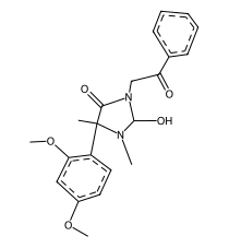 COc1ccc(C2(C)C(=O)N(CC(=O)c3ccccc3)C(O)N2C)c(OC)c1